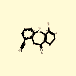 N#Cc1cccc2c1CC(=O)C1=C(S2)C(F)=CCC1